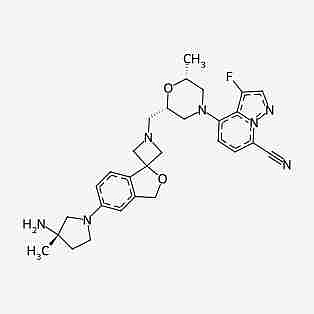 C[C@@H]1CN(c2ccc(C#N)n3ncc(F)c23)C[C@H](CN2CC3(C2)OCc2cc(N4CC[C@](C)(N)C4)ccc23)O1